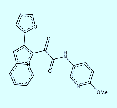 COc1ccc(NC(=O)C(=O)c2c(-c3ccco3)cc3ccccn23)cn1